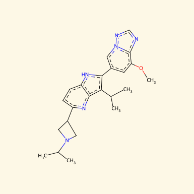 COc1cc(-c2[nH]c3ccc(C4CN(C(C)C)C4)nc3c2C(C)C)cn2ncnc12